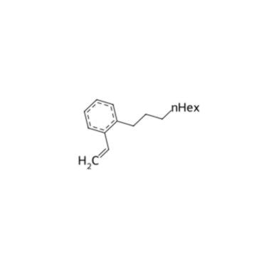 C=Cc1ccccc1CCCCCCCCC